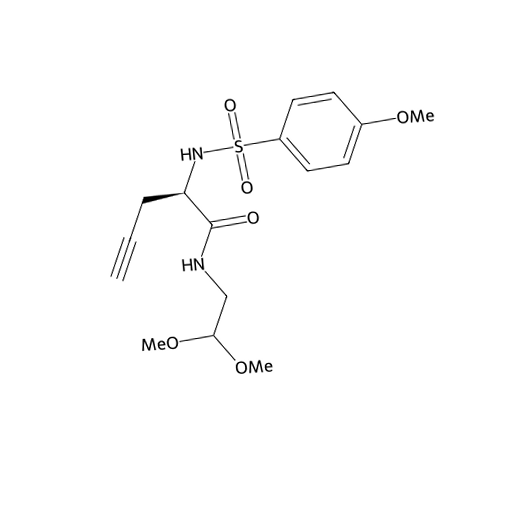 C#CC[C@@H](NS(=O)(=O)c1ccc(OC)cc1)C(=O)NCC(OC)OC